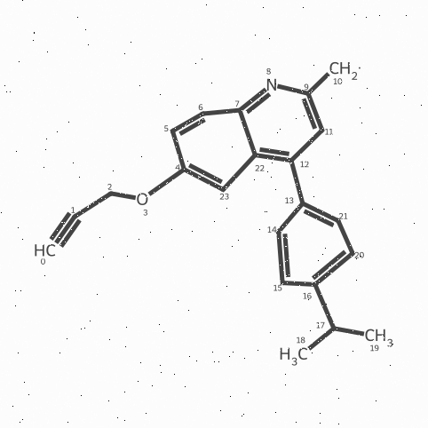 C#CCOc1ccc2nc([CH2])cc(-c3ccc(C(C)C)cc3)c2c1